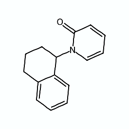 O=c1ccccn1C1CCCc2ccccc21